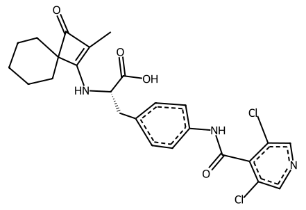 CC1=C(N[C@@H](Cc2ccc(NC(=O)c3c(Cl)cncc3Cl)cc2)C(=O)O)C2(CCCCC2)C1=O